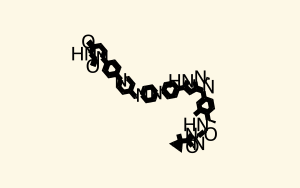 Cc1cc(-c2ncnc3[nH]c(-c4ccc(N5CCN(CC6CCN(c7ccc(N8CCC(=O)NC8=O)cc7)CC6)CC5)cc4)cc23)ccc1[C@@H](C)NC(=O)c1noc(C2(C)CC2)n1